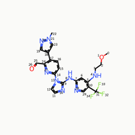 COCCNc1cc(Nc2nccn2-c2ccc(-c3cnn(C)c3)c(C=O)n2)ncc1C(F)(F)F